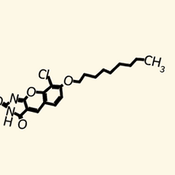 CCCCCCCCCOc1ccc2cc3c(=O)[nH]c(=O)nc-3oc2c1Cl